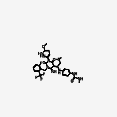 CNC(=O)Nc1ccc(N/C(CN(C)C)=C2\C(=N)N(Cc3c(F)cccc3C(F)(F)F)C(=O)N(C3=CC=C(OC)NN3)C2=O)cc1